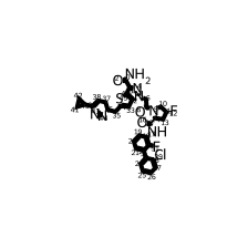 NC(=O)c1nn(CC(=O)N2C[C@H](F)C[C@H]2C(=O)Nc2cccc(-c3ccccc3Cl)c2F)c2cc(CC3CC=C(C4CC4)N=N3)sc12